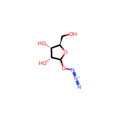 [N-]=[N+]=NOC1O[C@H](CO)[C@@H](O)[C@H]1O